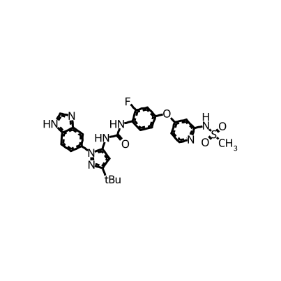 CC(C)(C)c1cc(NC(=O)Nc2ccc(Oc3ccnc(NS(C)(=O)=O)c3)cc2F)n(-c2ccc3[nH]cnc3c2)n1